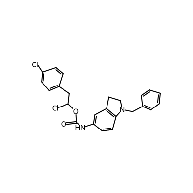 O=C(Nc1ccc2c(c1)CCN2Cc1ccccc1)OC(Cl)Cc1ccc(Cl)cc1